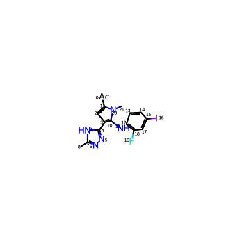 CC(=O)c1cc(-c2nnc(C)[nH]2)c(Nc2ccc(I)cc2F)n1C